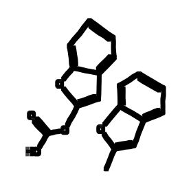 Cc1cc2ccccc2o1.O=C(O)Oc1cc2ccccc2o1